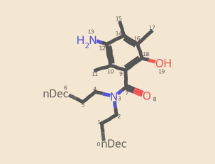 CCCCCCCCCCCCN(CCCCCCCCCCCC)C(=O)c1c(C)c(N)c(C)c(C)c1O